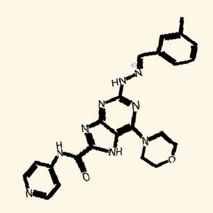 Cc1cccc(/C=N/Nc2nc(N3CCOCC3)c3[nH]c(C(=O)Nc4ccncc4)nc3n2)c1